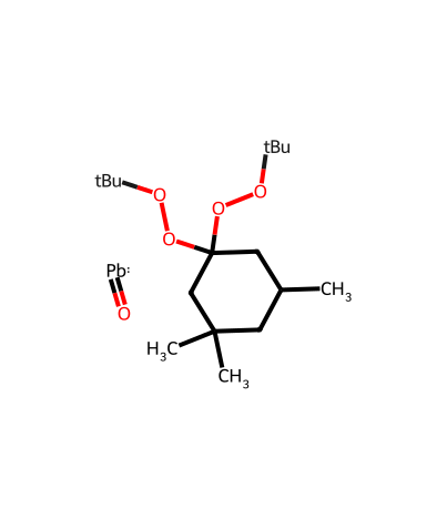 CC1CC(C)(C)CC(OOC(C)(C)C)(OOC(C)(C)C)C1.[O]=[Pb]